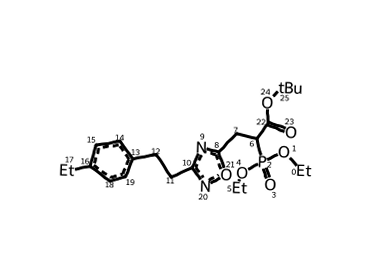 CCOP(=O)(OCC)C(Cc1nc(CCc2ccc(CC)cc2)no1)C(=O)OC(C)(C)C